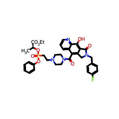 CCOC(=O)[C@H](C)OP(=O)(CCN1CCN(C(=O)c2c3c(c(O)c4ncccc24)C(=O)N(Cc2ccc(F)cc2)C3)CC1)Oc1ccccc1